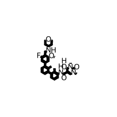 COc1cc(-c2cccc(-c3cccc(NC(=O)C4=CN(C)C(=O)N(C)C4O)c3C)c2C)cc(F)c1CNC1CCOCC1